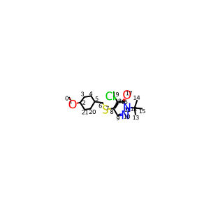 COC1CCC(CSc2cnn(C(C)(C)C)c(=O)c2Cl)CC1